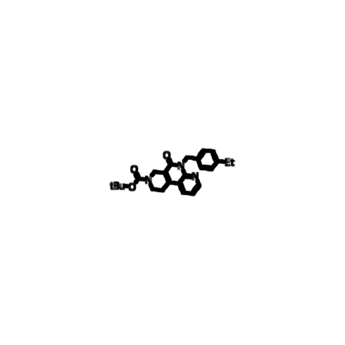 CCc1ccc(Cn2c(=O)c3c(c4cccnc42)CCN(C(=O)OC(C)(C)C)C3)cc1